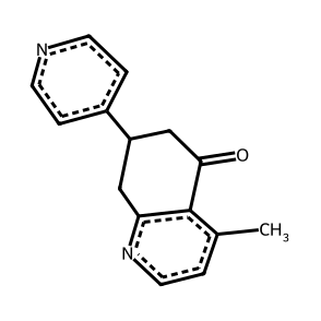 Cc1ccnc2c1C(=O)CC(c1ccncc1)C2